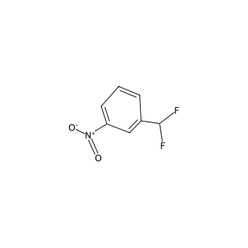 O=[N+]([O-])c1cccc(C(F)F)c1